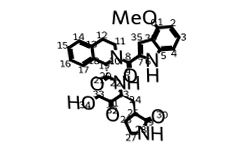 COc1cccc2[nH]c(C(=O)N3CCc4ccccc4[C@H]3C(=O)N[C@@H](C[C@@H]3CCNC3=O)C(=O)CO)cc12